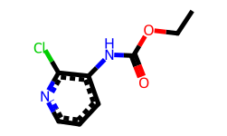 CCOC(=O)Nc1cccnc1Cl